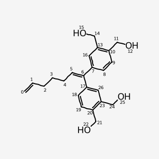 C=CCCCC=C(c1ccc(CO)c(CO)c1)c1ccc(CO)c(CO)c1